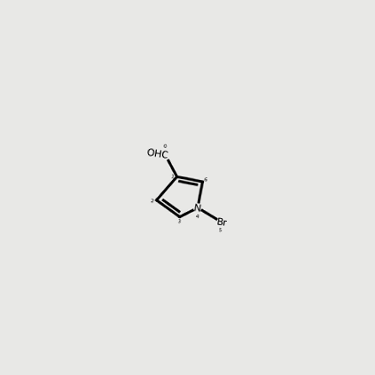 O=Cc1ccn(Br)c1